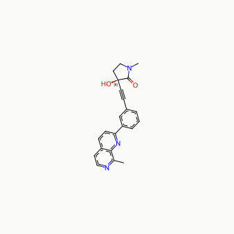 Cc1nccc2ccc(-c3cccc(C#C[C@]4(O)CCN(C)C4=O)c3)nc12